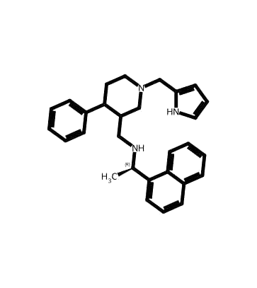 C[C@@H](NCC1CN(Cc2ccc[nH]2)CCC1c1ccccc1)c1cccc2ccccc12